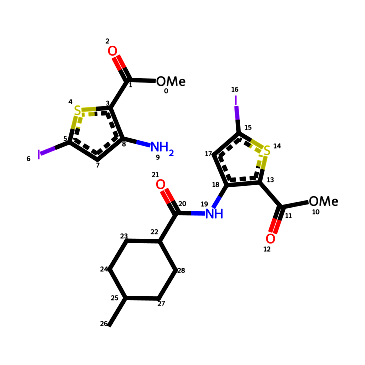 COC(=O)c1sc(I)cc1N.COC(=O)c1sc(I)cc1NC(=O)C1CCC(C)CC1